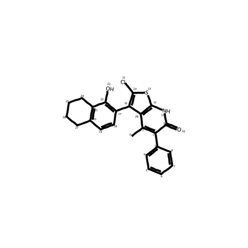 Cc1c(-c2ccccc2)c(=O)[nH]c2sc(Cl)c(-c3ccc4c(c3O)CCCC4)c12